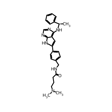 C[C@@H](Nc1ncnc2[nH]c(-c3ccc(CNC(=O)CCCN(C)C)cc3)cc12)c1ccccc1